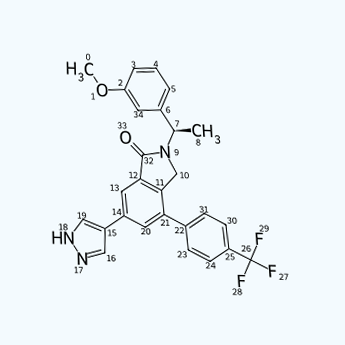 COc1cccc([C@@H](C)N2Cc3c(cc(-c4cn[nH]c4)cc3-c3ccc(C(F)(F)F)cc3)C2=O)c1